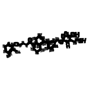 Cc1cccc(OCCCC(=O)N2CCCc3c(-c4cccc(COC(=O)NC(CCS)C(=O)O)c4)cccc32)c1C